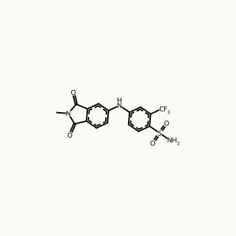 CN1C(=O)c2ccc(Nc3ccc(S(N)(=O)=O)c(C(F)(F)F)c3)cc2C1=O